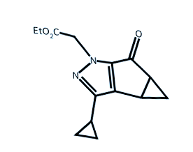 CCOC(=O)Cn1nc(C2CC2)c2c1C(=O)C1CC21